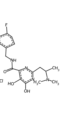 CC(Cc1nc(O)c(O)c(C(=O)NCc2ccc(F)cc2)n1)N(C)C.Cl